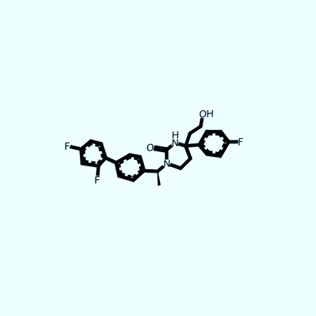 C[C@@H](c1ccc(-c2ccc(F)cc2F)cc1)N1CCC(CCO)(c2ccc(F)cc2)NC1=O